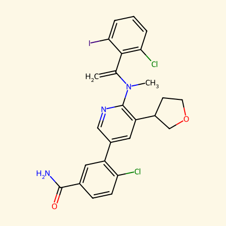 C=C(c1c(Cl)cccc1I)N(C)c1ncc(-c2cc(C(N)=O)ccc2Cl)cc1C1CCOC1